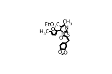 CCOC(=O)C1=C(C)N=c2s/c(=C/c3ccc4c(c3)OCO4)c(=O)n2C1c1ccc(C)o1